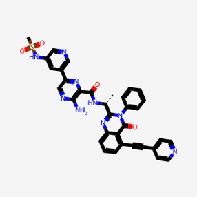 C[C@@H](NC(=O)c1nc(-c2cncc(NS(C)(=O)=O)c2)cnc1N)c1nc2cccc(C#Cc3ccncc3)c2c(=O)n1-c1ccccc1